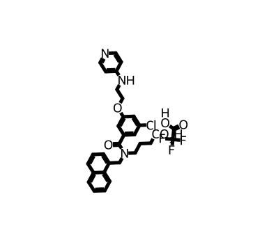 O=C(O)C(F)(F)F.O=C(O)CCCN(Cc1cccc2ccccc12)C(=O)c1cc(Cl)cc(OCCNc2ccncc2)c1